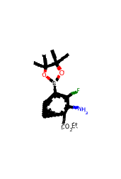 CCOC(=O)c1ccc(B2OC(C)(C)C(C)(C)O2)c(F)c1N